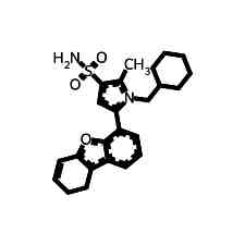 Cc1c(S(N)(=O)=O)cc(-c2cccc3c4c(oc23)C=CCC4)n1CC1CCCCC1